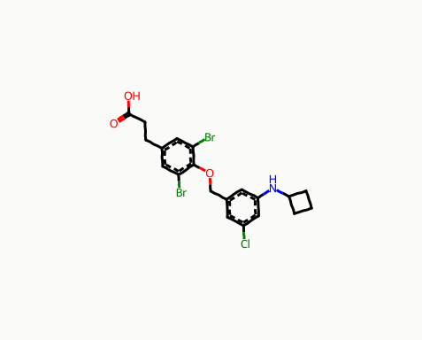 O=C(O)CCc1cc(Br)c(OCc2cc(Cl)cc(NC3CCC3)c2)c(Br)c1